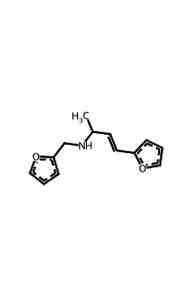 CC(C=Cc1ccco1)NCc1ccco1